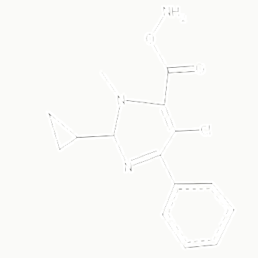 CN1C(C(=O)ON)=C(Cl)C(c2ccccc2)=NC1C1CC1